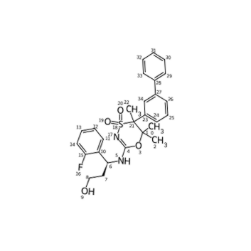 CC1(C)OC(N[C@@H](CCO)c2ccccc2F)=NS(=O)(=O)C1(C)c1cccc(-c2ccccc2)c1